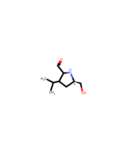 CC(C)C1C[C@H](CO)NC1C=O